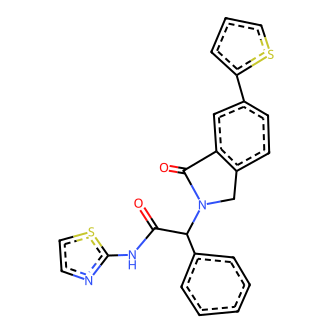 O=C(Nc1nccs1)C(c1ccccc1)N1Cc2ccc(-c3cccs3)cc2C1=O